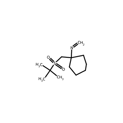 C=NC1(CS(=O)(=O)C(C)(C)C)CCCCC1